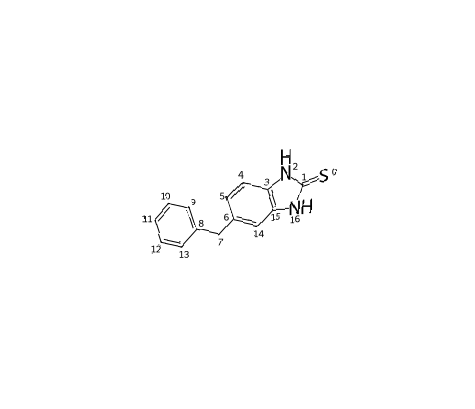 S=c1[nH]c2ccc(Cc3ccccc3)cc2[nH]1